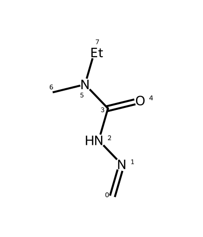 C=NNC(=O)N(C)CC